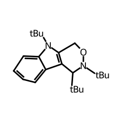 CC(C)(C)C1c2c(n(C(C)(C)C)c3ccccc23)CON1C(C)(C)C